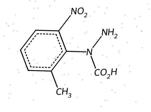 Cc1cccc([N+](=O)[O-])c1N(N)C(=O)O